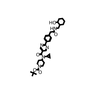 CC(C)(C)OC(=O)N1CCC(N(C(=O)c2cnc(-c3ccc(CC(=O)NCC4CCCCC4O)cc3)nc2)C2CC2)CC1